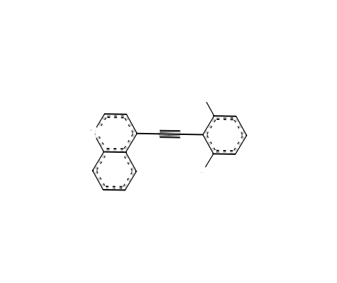 Fc1cccc(F)c1C#Cc1ccnc2ccccc12